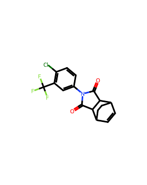 O=C1C2C3C=CC(CC3)C2C(=O)N1c1ccc(Cl)c(C(F)(F)F)c1